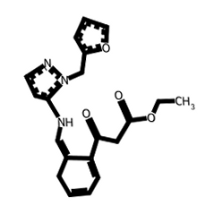 CCOC(=O)CC(=O)C1=CC=CCC1=CNc1ccnn1Cc1ccco1